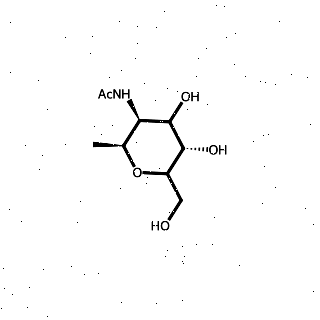 CC(=O)N[C@H]1C(O)[C@H](O)C(CO)O[C@H]1C